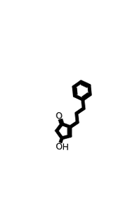 O=C1CC(O)C=C1CCCc1ccccc1